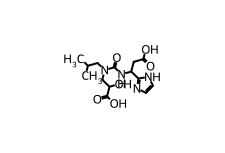 CC(C)CN(CC(O)C(=O)O)C(=O)NC(CC(=O)O)c1ncc[nH]1